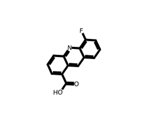 O=C(O)c1cccc2nc3c(F)cccc3cc12